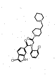 O=C(CN(C(=O)c1ccc2c(Cl)c[nH]c2c1)c1ccccc1Cl)N1CCC(CN2CCCCC2)CC1